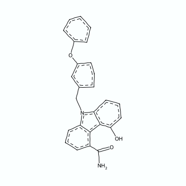 NC(=O)c1cccc2c1c1c(O)cccc1n2Cc1cccc(Oc2ccccc2)c1